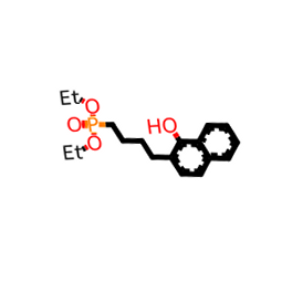 CCOP(=O)(CCCCc1ccc2ccccc2c1O)OCC